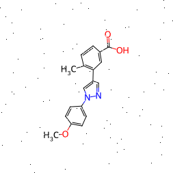 COc1ccc(-n2cc(-c3cc(C(=O)O)ccc3C)cn2)cc1